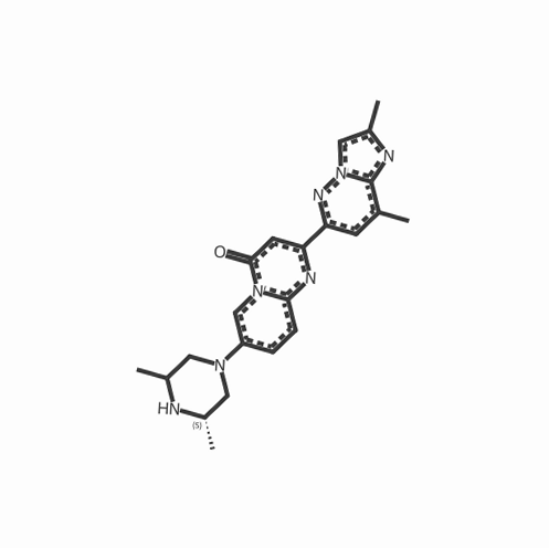 Cc1cn2nc(-c3cc(=O)n4cc(N5CC(C)N[C@@H](C)C5)ccc4n3)cc(C)c2n1